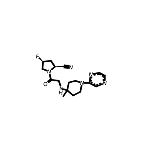 CC1(NCC(=O)N2C[C@@H](F)C[C@H]2C#N)CCN(c2cnccn2)CC1